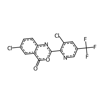 O=c1oc(-c2ncc(C(F)(F)F)cc2Cl)nc2ccc(Cl)cc12